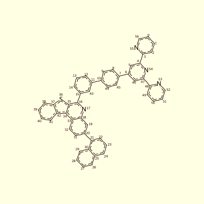 c1ccc(-c2cc(-c3ccc(-c4cccc(-c5nc6cc(-c7cccc8ccccc78)ccc6c6c5sc5ccccc56)c4)cc3)cc(-c3ccccn3)n2)nc1